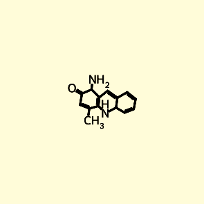 CC1=CC(=O)C(N)C2=C1NC1C=CC=CC1=C2